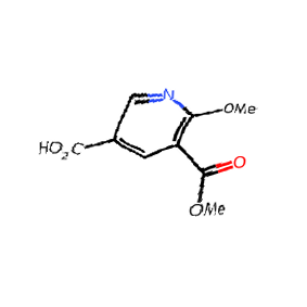 COC(=O)c1cc(C(=O)O)cnc1OC